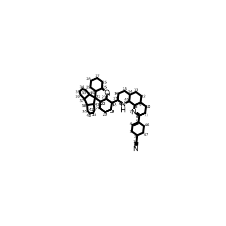 N#CC1CC=C(C2=NC3C(CC2)CCC2CCC(C4CCCC5C4OC4CCCCC4C54C5CCCCC5C5CCCCC54)NC23)CC1